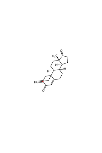 C#CCC12CCC(=O)C=C1CC[C@@H]1[C@@H]2CC[C@]2(C)C(=O)CC[C@@H]12